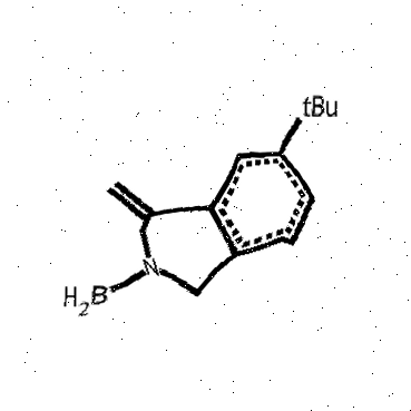 BN1Cc2ccc(C(C)(C)C)cc2C1=C